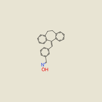 O/N=C/c1cccc(C=C2c3ccccc3CCc3ccccc32)c1